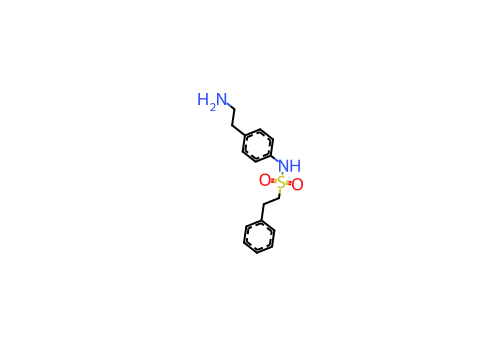 NCCc1ccc(NS(=O)(=O)CCc2ccccc2)cc1